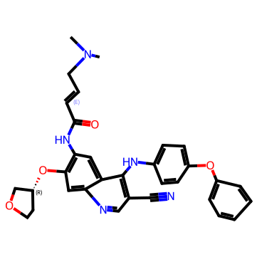 CN(C)C/C=C/C(=O)Nc1cc2c(Nc3ccc(Oc4ccccc4)cc3)c(C#N)cnc2cc1O[C@@H]1CCOC1